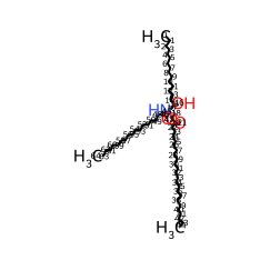 CCCCCCCCCCCCC/C=C/[C@@H](O)[C@H](COC(=O)CCCCCCCCCCCCCCCCCCCCCCC)NC(=O)CCCCCCCCCCCCCCCCC